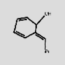 CC(C)C=C1C=CC=CC1O